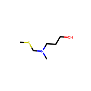 CSCN(C)CCCO